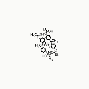 CC(O)Oc1cccc(C(C)(C)c2cccc(OC(C)O)c2)c1.CCC(O)Oc1ccc(C(C)(C)c2ccc(OC(O)CC)cc2)cc1